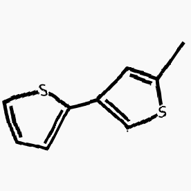 Cc1cc(-c2cccs2)[c]s1